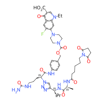 CCn1cc(C(=O)O)c(=O)c2cc(F)c(N3CCN(C(=O)OCc4ccc(NC(=O)[C@H](CCCNC(N)=O)n5cc([C@@H](NC(=O)[C@H](C)NC(=O)CCCCCN6C(=O)CCC6=O)C(C)C)nn5)cc4)CC3)cc21